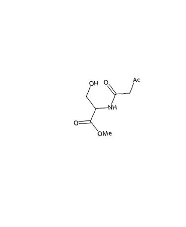 COC(=O)C(CO)NC(=O)CC(C)=O